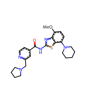 COc1ccc(N2CCCCC2)c2sc(NC(=O)c3ccnc(CN4CCCC4)c3)nc12